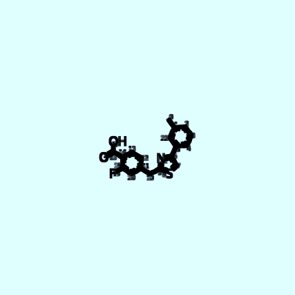 Cc1cccc(-c2csc(Cc3ccc(C(=O)O)c(F)c3)n2)c1